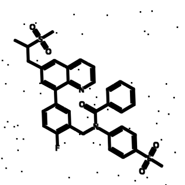 CC(Cc1cc(-c2ccc(F)c(CN(C(=O)c3ccccc3)c3ccc(S(C)(=O)=O)cc3)c2)c2ncccc2c1)S(C)(=O)=O